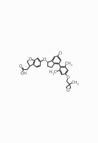 Cc1cc(OCC2(C)COC2)cc(C)c1-c1cc(Cl)cc2c1CC[C@H]2Oc1ccc2c(c1)OCC2CC(=O)O